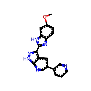 COc1ccc2nc(-c3n[nH]c4ncc(-c5cccnc5)cc34)[nH]c2c1